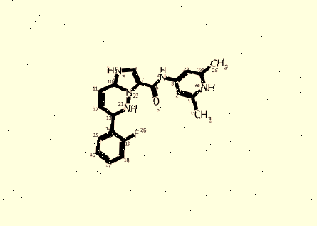 CC1=CC(NC(=O)C2=CNC3C=CC(c4ccccc4F)NN23)=CC(C)N1